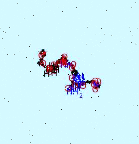 C=C1C[C@H](CC[C@]23C[C@H]4OC(O2)C4[C@H]2C[C@@H](O3)[C@H]3O[C@@H](CC(=O)C[C@H]4CO[C@H](C[C@H](O)CNC(=O)OCc5ccc(NC(=O)C(CCCNC(N)=O)NC(=O)[C@@H](NC(=O)CCCCCC(=O)ON6C(=O)CCC6=O)C(C)C)cc5)[C@@H]4OC)CC[C@@H]3O2)OC1CC[C@H]1C[C@@H](C)C(=C)[C@@H](C)O1